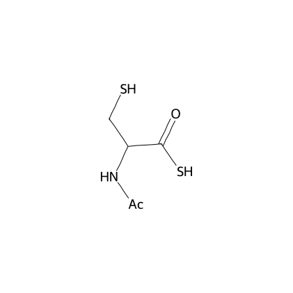 CC(=O)NC(CS)C(=O)S